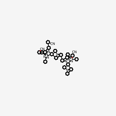 N#Cc1cccc(-c2ccc3c4c(-c5cccc6c5c5cccc(-c7ccc(-n8c9ccc(-c%10ccccc%10C#N)cc9c9cc(-c%10ccccc%10C#N)ccc98)c(-c8nc(-c9ccccc9)nc(-c9ccccc9)n8)c7)c5n6-c5ccccc5)cccc4n(-c4ccc(-c5cccc6c7ccccc7n(-c7ccccc7)c56)cc4-c4nc(-c5ccccc5)nc(-c5ccccc5)n4)c3c2)c1